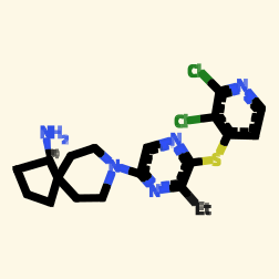 CCc1nc(N2CCC3(CCC[C@H]3N)CC2)cnc1Sc1ccnc(Cl)c1Cl